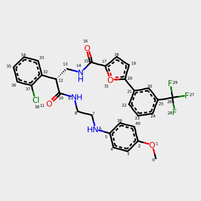 COc1ccc(NCCNC(=O)[C@@H](CNC(=O)c2ccc(-c3cccc(C(F)(F)F)c3)o2)c2ccccc2Cl)cc1